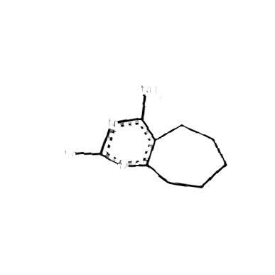 Nc1nc(Cl)nc2c1CCCCC2